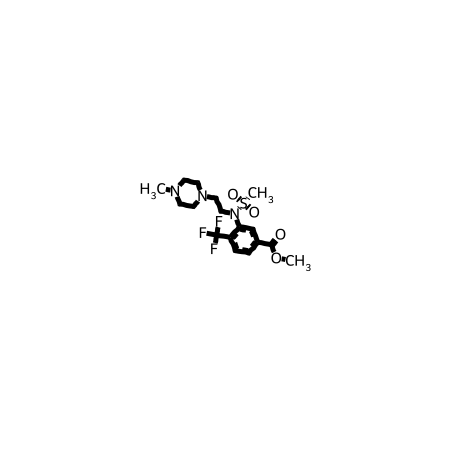 COC(=O)c1ccc(C(F)(F)F)c(N(CCN2CCN(C)CC2)S(C)(=O)=O)c1